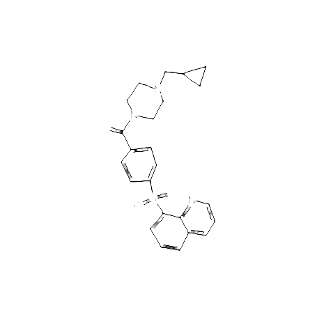 O=C(c1ccc(S(=O)(=O)c2cccc3cccnc23)cc1)N1CCN(CC2CC2)CC1